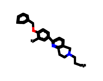 O=C(O)CCN1CCc2nc(-c3ccc(OCc4ccccc4)c(C(F)(F)F)c3)ccc2C1